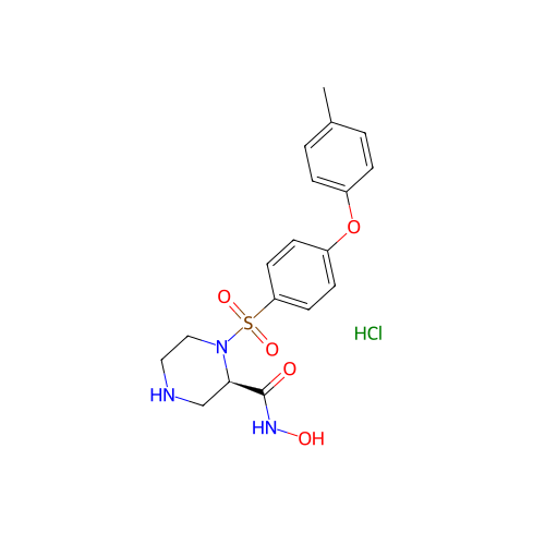 Cc1ccc(Oc2ccc(S(=O)(=O)N3CCNC[C@@H]3C(=O)NO)cc2)cc1.Cl